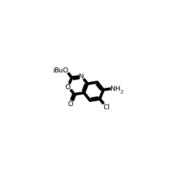 CC(C)COc1nc2cc(N)c(Cl)cc2c(=O)o1